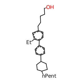 CCCCCC1CCC(c2ccc(-c3ccc(CCCCCO)cc3CC)cc2)CC1